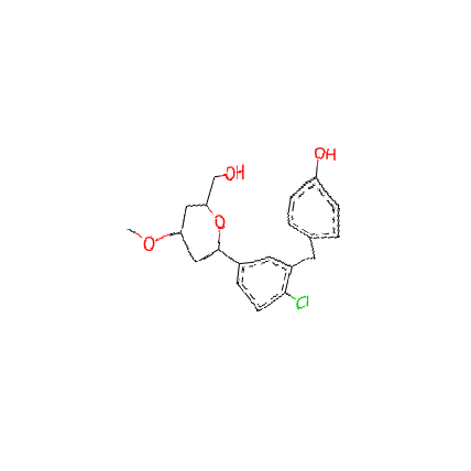 COC1CC(CO)OC(c2ccc(Cl)c(Cc3ccc(O)cc3)c2)C1